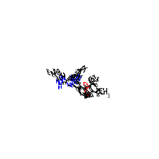 CCCCC(CC)c1n[nH]c2c(/N=C3/C(CC(C)C)=C(C(=O)OC4C(C(C)(C)C)CC(C)CC4C(C)(C)C)c4nc(C(C)C)nn43)c(C(C)(C)C)nn12